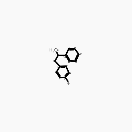 CC([CH]c1ccc(F)cc1)c1ccccc1